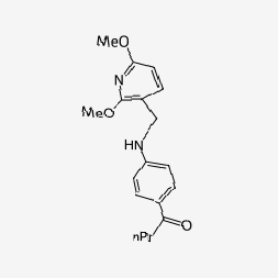 CCCC(=O)c1ccc(NCc2ccc(OC)nc2OC)cc1